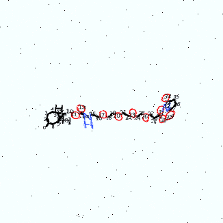 C/C1=C/CC[C@H]2[C@@H](CC1)[C@H]2COC(=O)NCCOCCOCCOCCOCCC(=O)ON1C(=O)CCC1=O